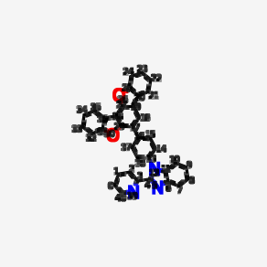 c1ccc(-c2nc3ccccc3n2-c2ccc(-c3cc4c5ccccc5oc4c4c3oc3ccccc34)cc2)nc1